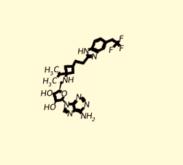 CC(C)C1(NC[C@H]2O[C@@H](n3cnc4c(N)ncnc43)[C@@H](O)[C@H]2O)CC(CCc2nc3cc(CC(F)(F)F)ccc3[nH]2)C1